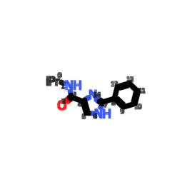 CC(C)NC(=O)c1c[nH]c(-c2cc[c]cc2)n1